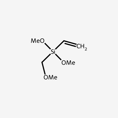 C=C[Si](COC)(OC)OC